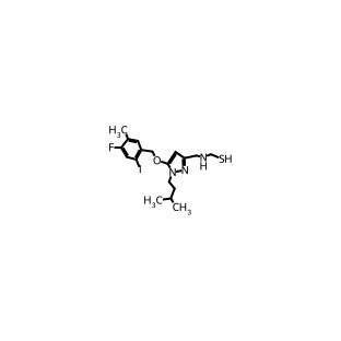 Cc1cc(COc2cc(CNCS)nn2CCC(C)C)c(I)cc1F